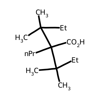 CCCC(C(=O)O)(C(C)(C)CC)C(C)(C)CC